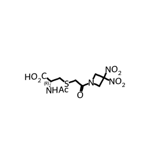 CC(=O)N[C@@H](CSCC(=O)N1CC([N+](=O)[O-])([N+](=O)[O-])C1)C(=O)O